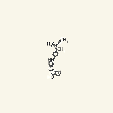 COCCN(C)CC(C)c1ccc(CNc2ccc(Oc3nc(O)c4ccncc4n3)cc2)cc1